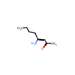 CCCCC(N)=CC(C)=O